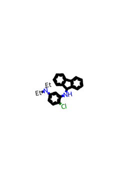 CCN(CC)c1ccc(Cl)c(NC2c3ccccc3-c3ccccc32)c1